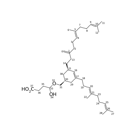 C=C(CC/C=C(\C)CCC=C(C)C)CC[C@H]1C=C(CC/C=C(\C)CCC=C(C)C)C[C@@H](COC(O)CCC(=O)O)C1